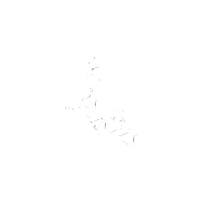 COc1nc(N2CCN(C(=O)OC(C)(C)C)CC2)ccc1Nc1ncc2c(n1)N1CCN=C1C(c1ccc(C)cc1)=C2